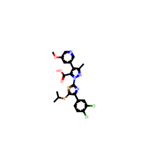 COc1cncc(-c2c(C)nn(-c3nc(-c4ccc(Cl)c(Cl)c4)c(SC(C)C)s3)c2C(=O)O)c1